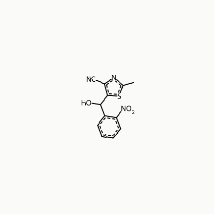 Cc1nc(C#N)c(C(O)c2ccccc2[N+](=O)[O-])s1